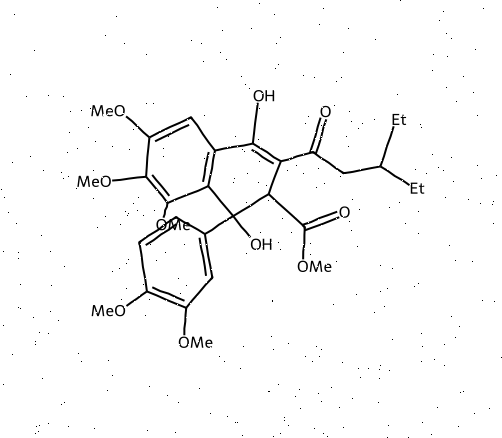 CCC(CC)CC(=O)C1=C(O)c2cc(OC)c(OC)c(OC)c2C(O)(c2ccc(OC)c(OC)c2)C1C(=O)OC